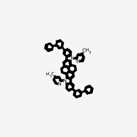 Cc1ccnc(-n2c3ccc(-c4cccc(-c5ccccc5)c4)cc3c3cc4c5c(c32)CCc2cc3c6cc(-c7cccc(-c8ccccc8)c7)ccc6n(-c6cc(C)ccn6)c3c(c2-5)CC4)c1